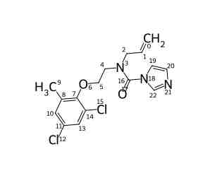 C=CCN(CCOc1c(C)cc(Cl)cc1Cl)C(=O)n1ccnc1